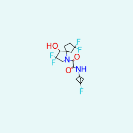 O=C(NC12CC(F)(C1)C2)C(=O)N1CC(F)(F)C(O)C12CCC(F)(F)C2